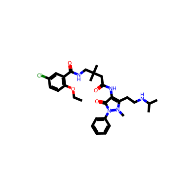 CCOc1ccc(Cl)cc1C(=O)NCC(C)(C)CC(=O)Nc1c(CCNC(C)C)n(C)n(-c2ccccc2)c1=O